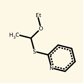 CCOC(C)Sc1ccccn1